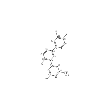 Cc1cc(-c2cc(-c3ccc(C)c(C)c3)ccc2C)cc(C(F)(F)F)c1